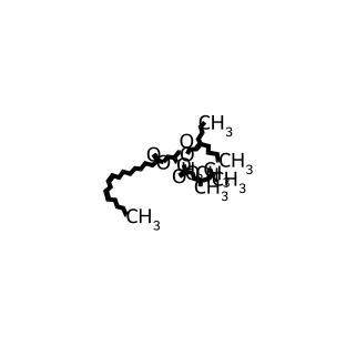 CCCCC/C=C\C/C=C\CCCCCCCC(=O)OCC(COC(=O)/C=C(\CCCC)CCCCC)COC(=O)OCC(C)(C)CN(C)C